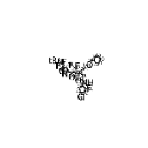 CC(C)(C)C(F)(F)c1cc(-c2onc([C@@H](CCCOCc3ccccc3)CC(=O)Nc3ccc(Cl)cc3F)c2C(F)F)no1